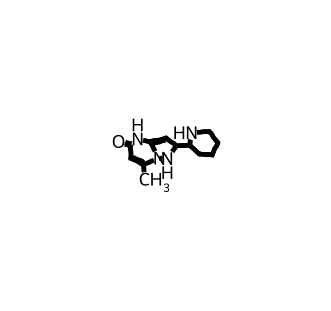 CC1=CC(=O)NC2=CC(C3CCCCN3)NN12